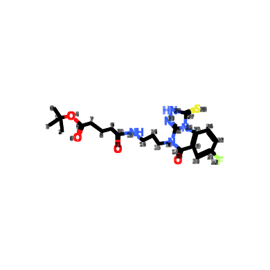 CC(C)(C)OC(=O)CCCC(=O)NCCCn1c(=O)c2cc(F)ccc2n2c(=S)[nH]nc12